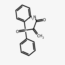 C=C(C(N)=O)P(=O)(c1ccccc1)c1ccccc1